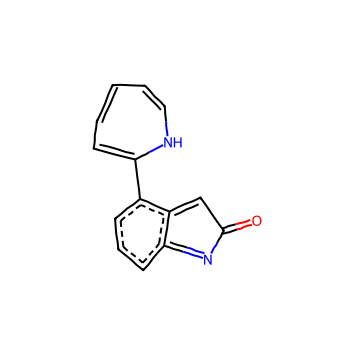 O=C1C=c2c(C3=CC=CC=CN3)cccc2=N1